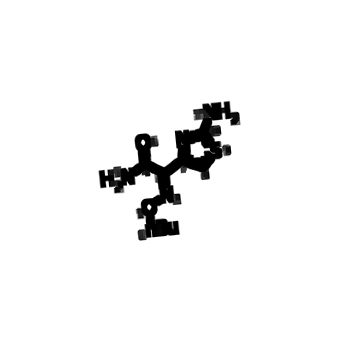 CCCCON=C(C(N)=O)c1csc(N)n1